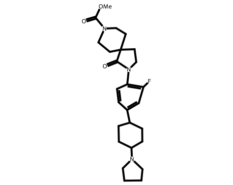 COC(=O)N1CCC2(CC1)CCN(c1ccc(C3CCC(N4CCCC4)CC3)cc1F)C2=O